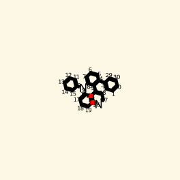 c1ccc(-c2cccc(N(c3ccccc3)c3ccccc3)c2-c2ccncc2)cc1